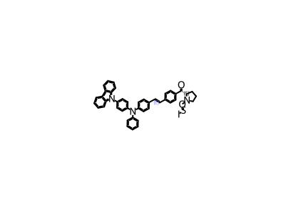 O=C(c1ccc(/C=C/c2ccc(N(c3ccccc3)c3ccc(-n4c5ccccc5c5ccccc54)cc3)cc2)cc1)[C@@H]1CCCN1OSI